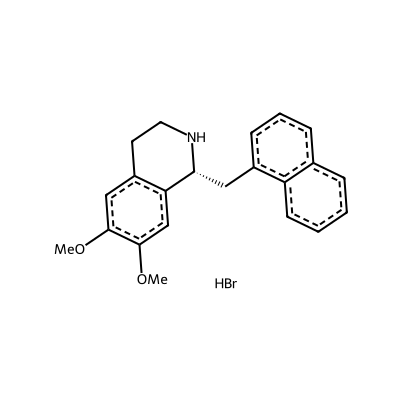 Br.COc1cc2c(cc1OC)[C@@H](Cc1cccc3ccccc13)NCC2